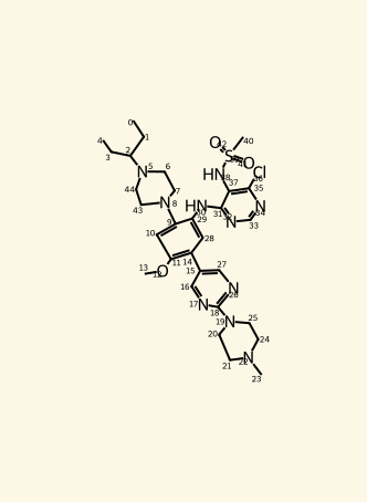 CCC(CC)N1CCN(c2cc(OC)c(-c3cnc(N4CCN(C)CC4)nc3)cc2Nc2ncnc(Cl)c2NS(C)(=O)=O)CC1